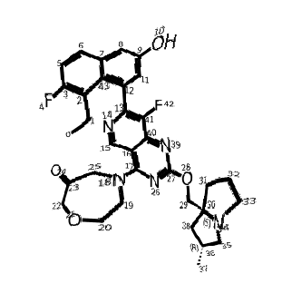 CCc1c(F)ccc2cc(O)cc(-c3ncc4c(N5CCOCC(=O)C5)nc(OC[C@@]56CCCN5C[C@H](C)C6)nc4c3F)c12